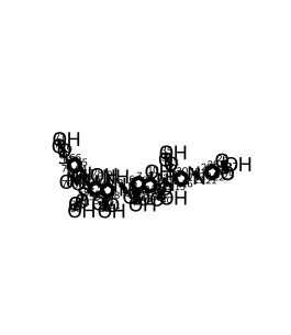 Nc1c(N=Nc2ccc3c(O)c(N=Nc4ccc(N=Nc5ccc(S(=O)(=O)O)cc5)cc4SOOO)c(S(=O)(=O)O)cc3c2S(=O)(=O)O)cc(S(=O)(=O)O)c2cc(SOOO)c(N=Nc3ccc(SOOO)cc3[N+](=O)[O-])c(O)c12